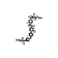 C[C@H]1CN(C(=O)C(C)(C)NC(=O)OC(C)(C)C)CCN1C(=O)Nc1ccn(-c2ccc(CN3CC4C(C3)C4NC(=O)OC(C)(C)C)cc2)c(=O)n1